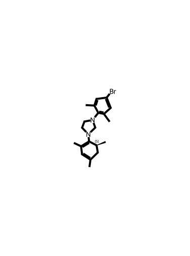 CC1=CC(C)=C(N2CCN(c3c(C)cc(Br)cc3C)C2)[C@@H](C)C1